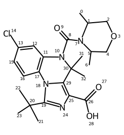 CC1COCC(C)N1C(=O)N1c2cc(Cl)ccc2-n2c(C(C)(C)C)nc(C(=O)O)c2C1(C)C